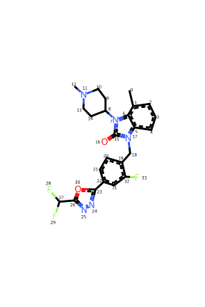 Cc1cccc2c1n(C1CCN(C)CC1)c(=O)n2Cc1ccc(-c2nnc(C(F)F)o2)cc1F